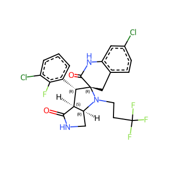 O=C1NC[C@H]2[C@@H]1[C@H](c1cccc(Cl)c1F)[C@@]1(Cc3ccc(Cl)cc3NC1=O)N2CCC(F)(F)F